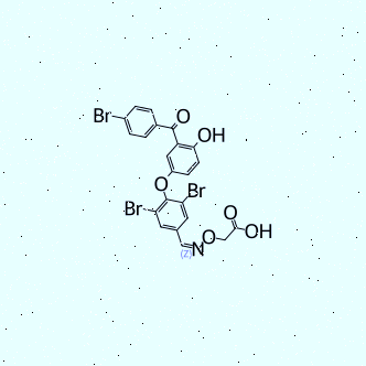 O=C(O)CO/N=C\c1cc(Br)c(Oc2ccc(O)c(C(=O)c3ccc(Br)cc3)c2)c(Br)c1